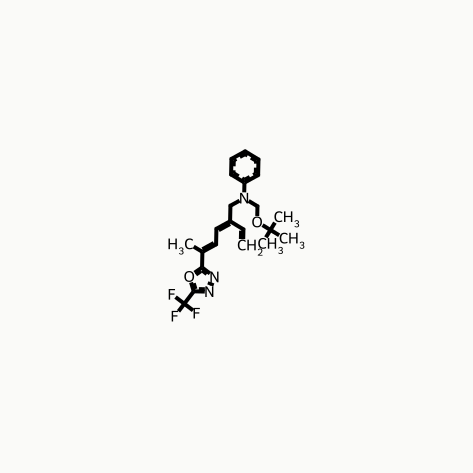 C=C/C(=C\C=C(/C)c1nnc(C(F)(F)F)o1)CN(COC(C)(C)C)c1ccccc1